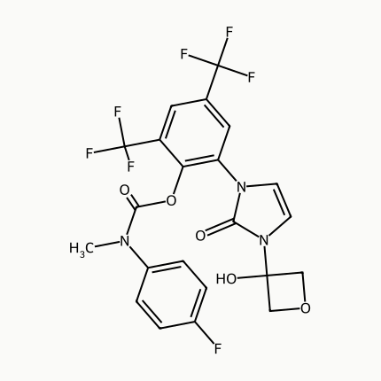 CN(C(=O)Oc1c(-n2ccn(C3(O)COC3)c2=O)cc(C(F)(F)F)cc1C(F)(F)F)c1ccc(F)cc1